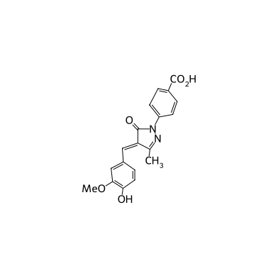 COc1cc(C=C2C(=O)N(c3ccc(C(=O)O)cc3)N=C2C)ccc1O